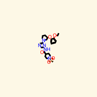 CCOc1ccccc1OC1CCCN(c2cncc(NC(=O)C3CCN(S(C)(=O)=O)CC3)n2)C1